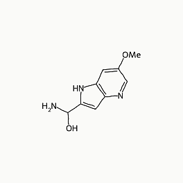 COc1cnc2cc(C(N)O)[nH]c2c1